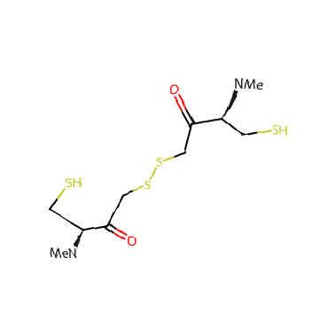 CN[C@@H](CS)C(=O)CSSCC(=O)[C@H](CS)NC